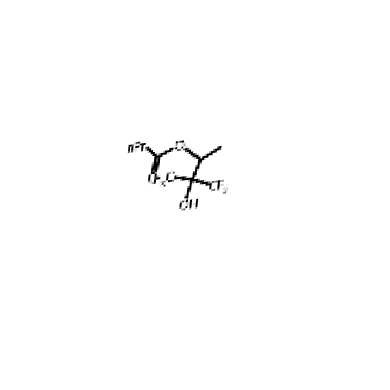 CCCC(=O)OC(C)C(O)(C(F)(F)F)C(F)(F)F